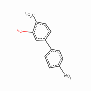 O=C(O)c1ccc(-c2ccc([N+](=O)[O-])cc2)cc1O